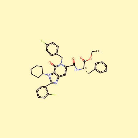 CCOC(=O)[C@H](Cc1ccccc1)NC(=O)c1cc2nc(-c3ccccc3F)n(C3CCCCC3)c2c(=O)n1Cc1ccc(F)cc1